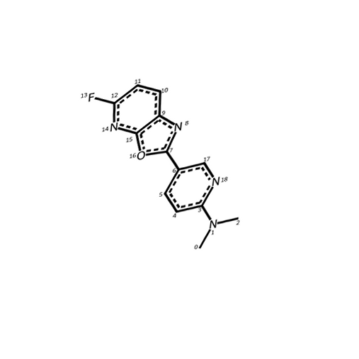 CN(C)c1ccc(-c2nc3ccc(F)nc3o2)cn1